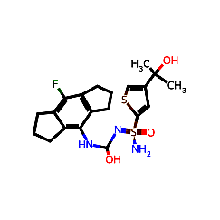 CC(C)(O)c1csc([S@](N)(=O)=NC(O)Nc2c3c(c(F)c4c2CCC4)CCC3)c1